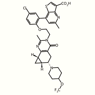 Cc1cc(-c2cc(Cl)ccc2OCCn2c(C)nc3c(c2=O)C[C@H](N2CCC(OC(F)(F)F)CC2)[C@@H]2C[C@H]32)c2scc(C(=O)O)c2n1